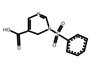 O=C(O)C1=CN=CN(S(=O)(=O)c2ccccc2)C1